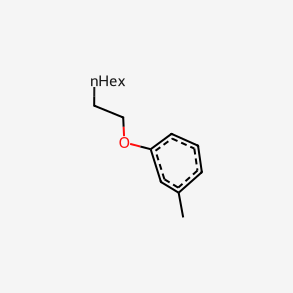 CCCCCCCCOc1cccc(C)c1